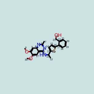 COc1cc2nc(C)nc(NC(C)c3ccc(-c4ccccc4CO)s3)c2cc1OC